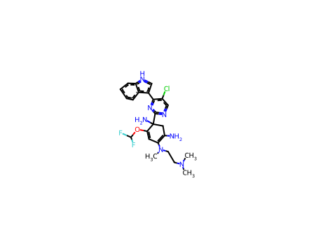 CN(C)CCN(C)C1=C(N)CC(N)(c2ncc(Cl)c(-c3c[nH]c4ccccc34)n2)C(OC(F)F)=C1